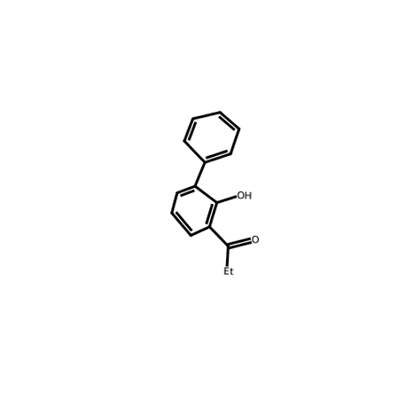 CCC(=O)c1cccc(-c2ccccc2)c1O